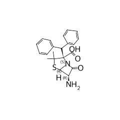 CC1(C)S[C@@H]2[C@H](N)C(=O)N2[C@]1(C(=O)O)C(c1ccccc1)c1ccccc1